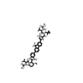 CC[C@@H]1CCCN(C(=O)[C@@H](NC(=O)OC)C(C)C)C1c1nc2ccc(-c3ccc4c(c3)C(F)(F)c3cc(-c5c[nH]c([C@H](C)N(CC6(C)CC6)C(=O)[C@@H](NC(=O)OC)C(C)C)n5)ccc3-4)cc2[nH]1